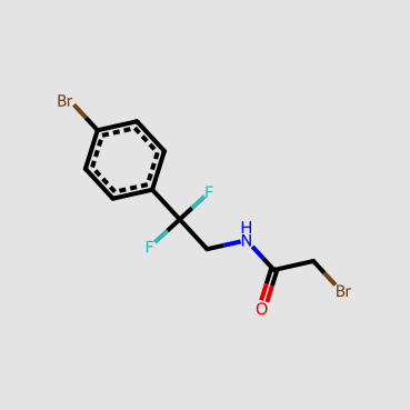 O=C(CBr)NCC(F)(F)c1ccc(Br)cc1